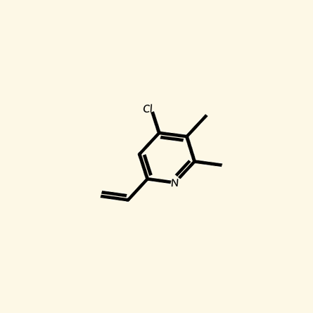 C=Cc1cc(Cl)c(C)c(C)n1